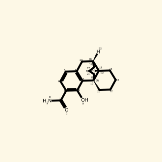 NC(=O)c1ccc2c(c1O)[C@@]13CCCC[C@H]1[C@H](CCC3)C2